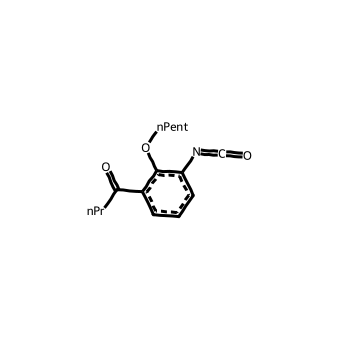 CCCCCOc1c(N=C=O)cccc1C(=O)CCC